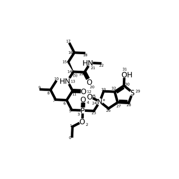 CCOP(=O)(CC(CC(C)C)C(=O)N[C@@H](CC(C)C)C(=O)NC)C[N+]1([O-])Cc2csc(O)c2C1